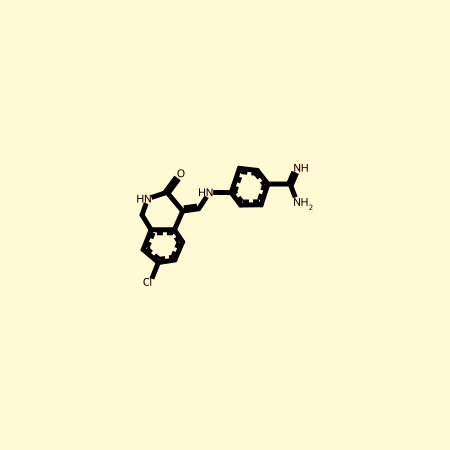 N=C(N)c1ccc(N/C=C2\C(=O)NCc3cc(Cl)ccc32)cc1